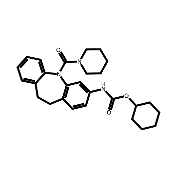 O=C(Nc1ccc2c(c1)N(C(=O)N1CCCCC1)c1ccccc1CC2)OC1CCCCC1